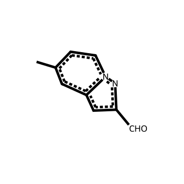 Cc1ccn2nc(C=O)cc2c1